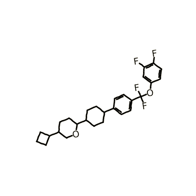 Fc1ccc(OC(F)(F)c2ccc(C3CCC(C4CCC(C5CCC5)CO4)CC3)cc2)cc1F